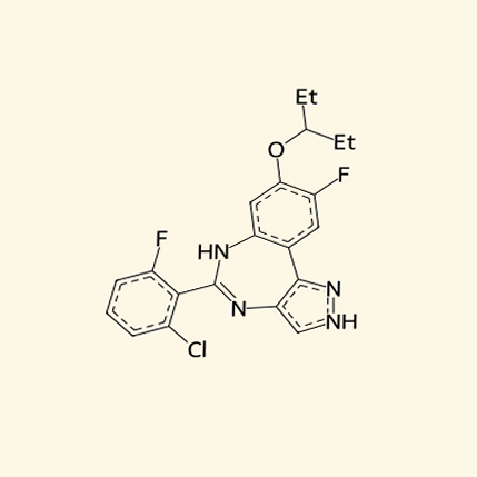 CCC(CC)Oc1cc2c(cc1F)-c1n[nH]cc1N=C(c1c(F)cccc1Cl)N2